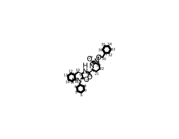 O=C(Nc1ccccc1)[C@@H](Cc1ccccc1)NC(=O)[C@@H]1CCC2CN1C(=O)N2OCc1ccccc1